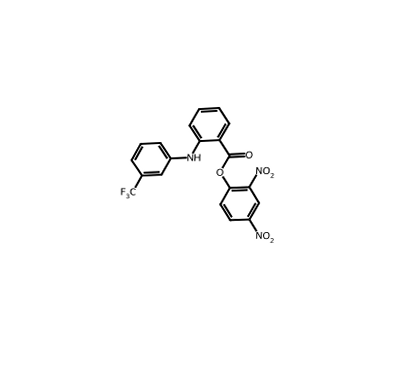 O=C(Oc1ccc([N+](=O)[O-])cc1[N+](=O)[O-])c1ccccc1Nc1cccc(C(F)(F)F)c1